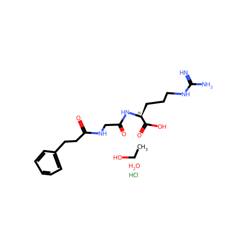 CCO.Cl.N=C(N)NCCC[C@H](NC(=O)CNC(=O)CCc1ccccc1)C(=O)O.O